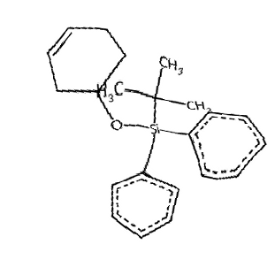 CC(C)(C)[Si](OC1CC=CCC1)(c1ccccc1)c1ccccc1